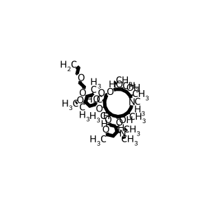 C=CCOCCO[C@H]1[C@H](C)OC(O[C@H]2[C@H](C)[C@H]3O[C@@H]4O[C@H](C)C[C@H](N(C)C)[C@H]4O[C@@]3(O)C[C@@H](C)CN(C)[C@H](C)[C@H](O)[C@](C)(O)[C@@H](CC)OC(=O)[C@@H]2C)C[C@@]1(C)OC